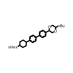 CCCCCCC1CCC(c2ccc(-c3ccc(C4COC(CCCC)CO4)cc3)cc2)CC1